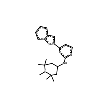 CN1C(C)(C)CC(Nc2nccc(-c3cc4ccccc4s3)n2)CC1(C)C